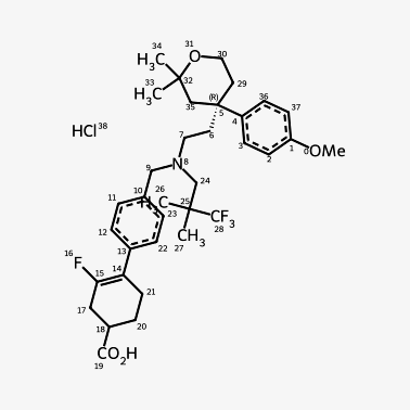 COc1ccc([C@]2(CCN(Cc3ccc(C4=C(F)CC(C(=O)O)CC4)cc3)CC(C)(C)C(F)(F)F)CCOC(C)(C)C2)cc1.Cl